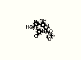 CC1(C)COCCN1C(=O)c1nn(-c2cc(Cl)cc(Cl)c2)c2c1COc1cc(O)c(-c3cncc(CO)c3)cc1-2